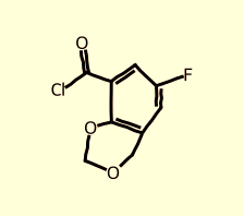 O=C(Cl)c1cc(F)cc2c1OCOC2